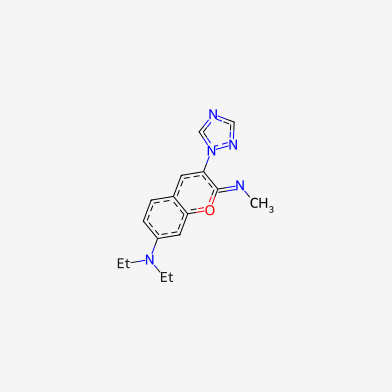 CCN(CC)c1ccc2cc(-n3cncn3)c(=NC)oc2c1